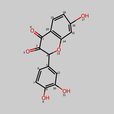 O=C1C(=O)C(c2ccc(O)c(O)c2)Oc2cc(O)ccc21